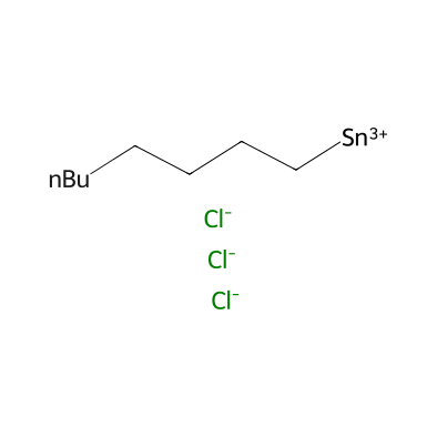 CCCCCCC[CH2][Sn+3].[Cl-].[Cl-].[Cl-]